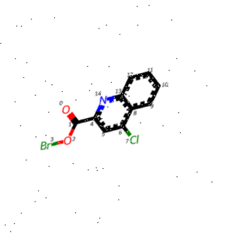 O=C(OBr)c1cc(Cl)c2ccccc2n1